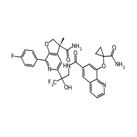 C[C@]1(C(N)=O)COc2c1cc(C(O)(CNC(=O)c1cc(OC3(C(N)=O)CC3)c3ncccc3c1)C(F)(F)F)nc2-c1ccc(F)cc1